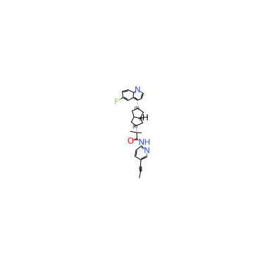 CC#Cc1ccc(NC(=O)C(C)(C)[C@@H]2CC3C[C@H](c4ccnc5ccc(F)cc45)C[C@@H]3C2)nc1